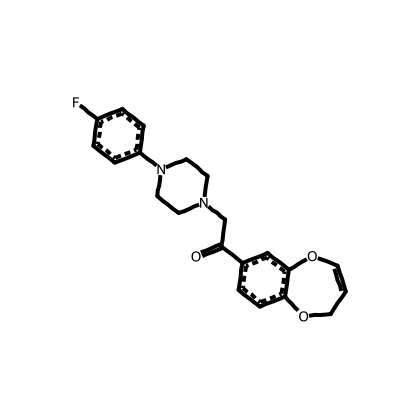 O=C(CN1CCN(c2ccc(F)cc2)CC1)c1ccc2c(c1)OC=CCO2